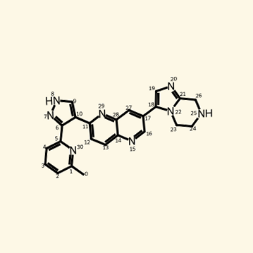 Cc1cccc(-c2n[nH]cc2-c2ccc3ncc(-c4cnc5n4CCNC5)cc3n2)n1